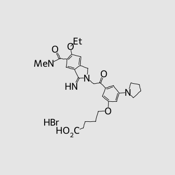 Br.CCOc1cc2c(cc1C(=O)NC)C(=N)N(CC(=O)c1cc(OCCCCC(=O)O)cc(N3CCCC3)c1)C2